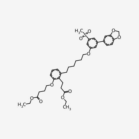 CCOC(=O)CCCOc1cccc(CCCCCCOc2cc(-c3ccc4c(c3)OCO4)cc(S(C)(=O)=O)c2)c1CCC(=O)OCC